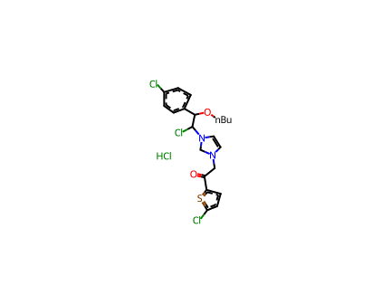 CCCCOC(c1ccc(Cl)cc1)C(Cl)N1C=CN(CC(=O)c2ccc(Cl)s2)C1.Cl